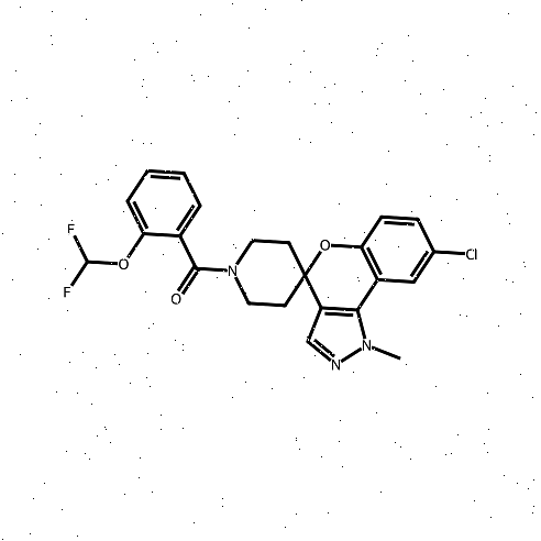 Cn1ncc2c1-c1cc(Cl)ccc1OC21CCN(C(=O)c2ccccc2OC(F)F)CC1